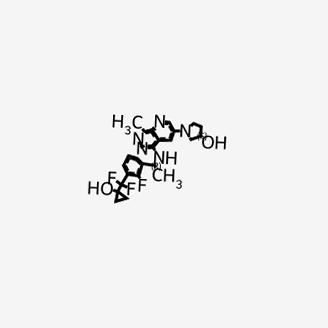 Cc1nnc(N[C@H](C)c2cccc(C(F)(F)C3(O)CC3)c2F)c2cc(N3CC[C@H](O)C3)cnc12